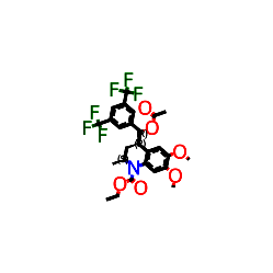 CCOC(=O)N1c2cc(OC)c(OC)cc2[C@H]([C@@H](OC(C)=O)c2cc(C(F)(F)F)cc(C(F)(F)F)c2)C[C@@H]1C